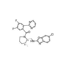 C[C@@H]1CCCN(C(=O)c2cc(F)c(F)cc2-c2ncccn2)[C@@H]1CNc1nc2ccc(Cl)cc2o1